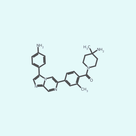 Cc1cc(-c2cn3c(-c4ccc(N)cc4)cnc3cn2)ccc1C(=O)N1CCC(C)(N)CC1